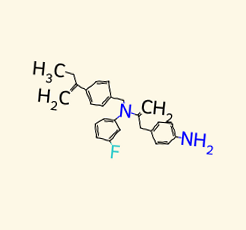 C=C(CC)c1ccc(CN(C(=C)Cc2ccc(N)cc2)c2cccc(F)c2)cc1